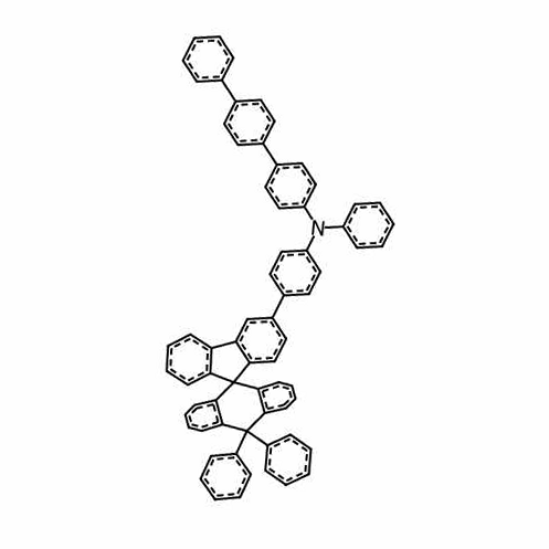 c1ccc(-c2ccc(-c3ccc(N(c4ccccc4)c4ccc(-c5ccc6c(c5)-c5ccccc5C65c6ccccc6C(c6ccccc6)(c6ccccc6)c6ccccc65)cc4)cc3)cc2)cc1